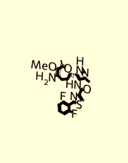 CO[C@H]1[C@H](N)CC[C@@H](c2[nH]nc(C)c2NC(=O)c2csc(-c3c(F)cccc3F)n2)O[C@@H]1C